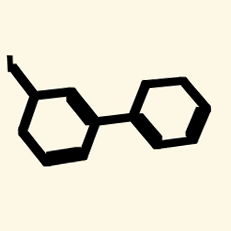 IC1C=C(C2=CC=CCC2)C=CC1